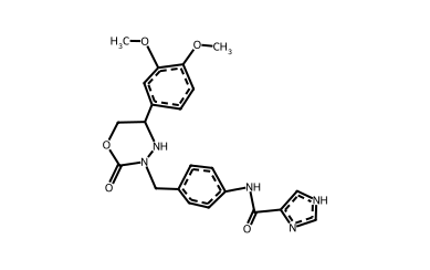 COc1ccc(C2COC(=O)N(Cc3ccc(NC(=O)c4c[nH]cn4)cc3)N2)cc1OC